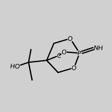 CC(C)(O)C12COP(=N)(OC1)OC2